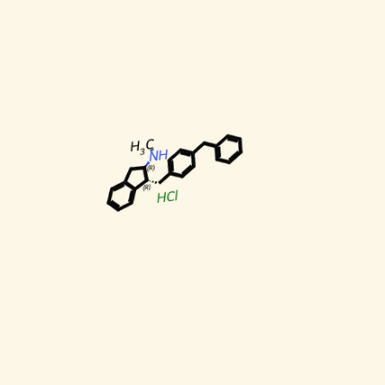 CN[C@@H]1Cc2ccccc2[C@H]1Cc1ccc(Cc2ccccc2)cc1.Cl